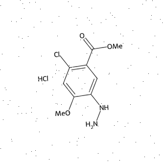 COC(=O)c1cc(NN)c(OC)cc1Cl.Cl